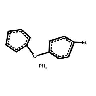 CCc1ccc(Oc2ccccc2)cc1.P